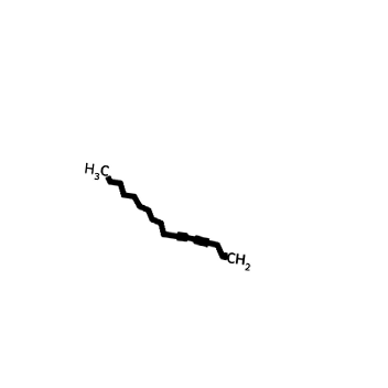 C=CCC#CC#CCCCCCCCCCC